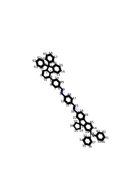 C1=CC2C(C(c3ccc(/C=C/c4ccc(/C=C/c5ccc6c(c5)C5(CCCC5)c5cc(N(c7ccccc7)c7ccccc7)ccc5-6)cc4)cc3)=C1)c1ccccc1C2(c1ccccc1)c1ccccc1